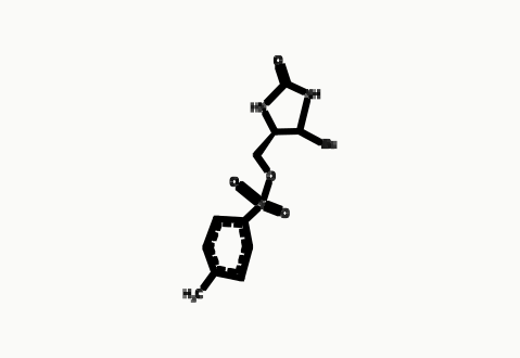 CCC(C)C1NC(=O)N[C@@H]1COS(=O)(=O)c1ccc(C)cc1